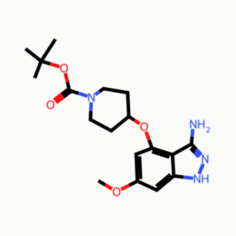 COc1cc(OC2CCN(C(=O)OC(C)(C)C)CC2)c2c(N)n[nH]c2c1